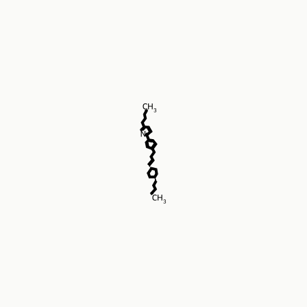 CCCCCc1ccc(-c2ccc(CC/C=C/[C@H]3CC[C@H](CCCCC)CC3)cc2)nc1